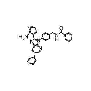 Nc1ncccc1-c1nc2cc(-c3ccsc3)cnc2n1-c1ccc(CNC(=O)c2ccccc2)cc1